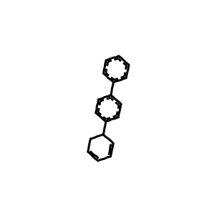 C1=CCC(c2ccc(-c3ccccc3)cc2)C=C1